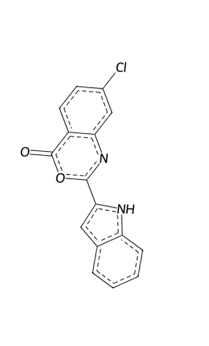 O=c1oc(-c2cc3ccccc3[nH]2)nc2cc(Cl)ccc12